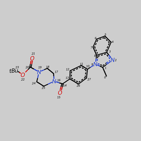 Cc1nc2ccccc2n1-c1ccc(C(=O)N2CCN(C(=O)OC(C)(C)C)CC2)cc1